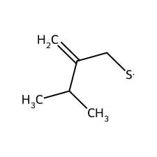 C=C(C[S])C(C)C